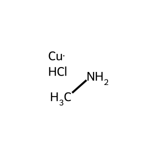 CN.Cl.[Cu]